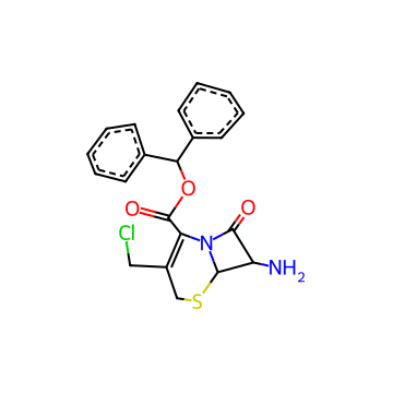 NC1C(=O)N2C(C(=O)OC(c3ccccc3)c3ccccc3)=C(CCl)CSC12